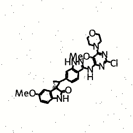 COc1ccc2c(c1)[C@]1(CC1c1ccc3c(Nc4nc(Cl)nc(N5CCOCC5)c4OC)n[nH]c3c1)C(=O)N2